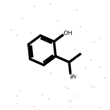 CC(C)C(C)c1ccccc1O